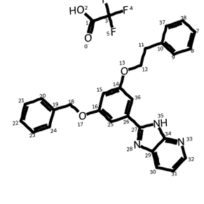 O=C(O)C(F)(F)F.c1ccc(CCOc2cc(OCc3ccccc3)cc(-c3nc4cccnc4[nH]3)c2)cc1